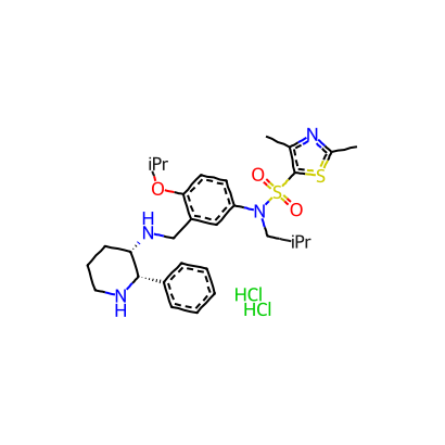 Cc1nc(C)c(S(=O)(=O)N(CC(C)C)c2ccc(OC(C)C)c(CN[C@H]3CCCN[C@H]3c3ccccc3)c2)s1.Cl.Cl